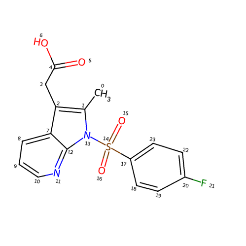 Cc1c(CC(=O)O)c2cccnc2n1S(=O)(=O)c1ccc(F)cc1